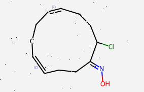 ON=C1CC/C=C\CC/C=C\CCC1Cl